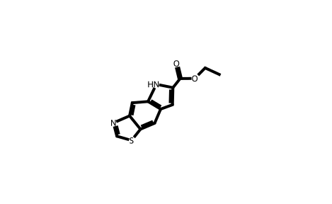 CCOC(=O)c1cc2cc3scnc3cc2[nH]1